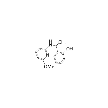 COc1cccc(NC(C)c2ccccc2O)n1